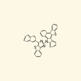 c1ccc2cc(-c3nc(-n4c5ccccc5c5c6sc7ccccc7c6c6ccccc6c54)nc4c3sc3ccccc34)ccc2c1